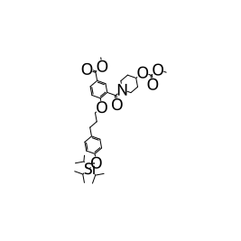 COC(=O)OC1CCN(C(=O)c2cc(C(=O)OC)ccc2OCCCc2ccc(O[Si](C(C)C)(C(C)C)C(C)C)cc2)CC1